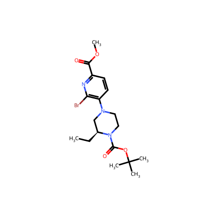 CC[C@H]1CN(c2ccc(C(=O)OC)nc2Br)CCN1C(=O)OC(C)(C)C